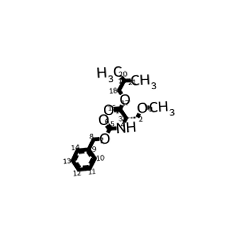 COC[C@H](NC(=O)OCc1ccccc1)C(=O)OCC(C)C